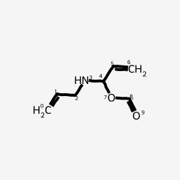 C=CCNC(C=C)O[C]=O